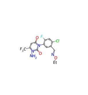 CCO/N=C/c1cc(-n2c(=O)cc(C(F)(F)F)n(N)c2=O)c(F)cc1Cl